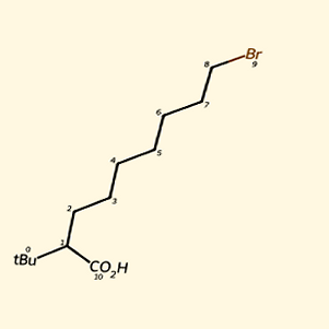 CC(C)(C)C(CCCCCCCBr)C(=O)O